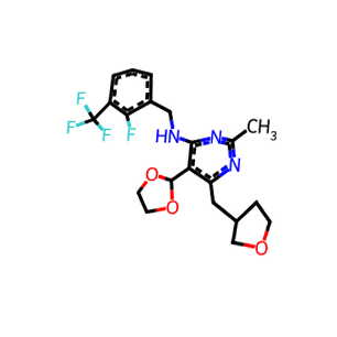 Cc1nc(CC2CCOC2)c(C2OCCO2)c(NCc2cccc(C(F)(F)F)c2F)n1